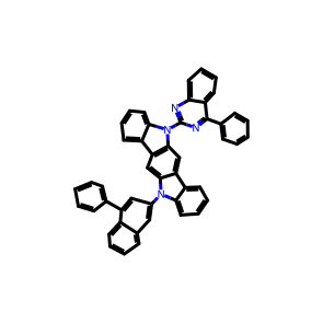 c1ccc(-c2cc(-n3c4ccccc4c4cc5c(cc43)c3ccccc3n5-c3nc(-c4ccccc4)c4ccccc4n3)cc3ccccc23)cc1